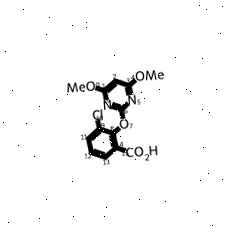 COc1cc(OC)nc(Oc2c(Cl)cccc2C(=O)O)n1